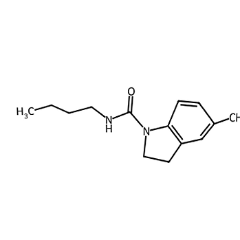 CCCCNC(=O)N1CCc2cc(C)ccc21